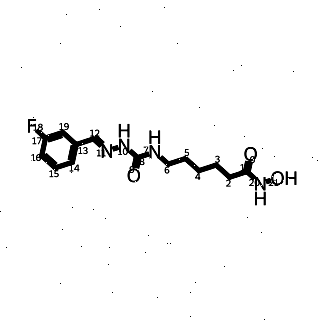 O=C(CCCCCNC(=O)N/N=C/c1cccc(F)c1)NO